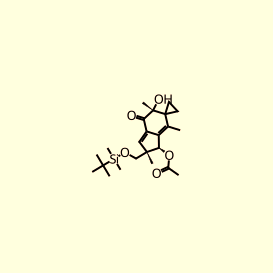 CC(=O)O[C@@H]1C2=C(C)C3(CC3)[C@@](C)(O)C(=O)C2=C[C@@]1(C)CO[Si](C)(C)C(C)(C)C